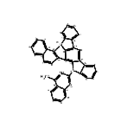 Cc1nc(-n2c3ccccc3c3cc4c5ccccc5n5c6c7ccccc7ccc6c(c32)c45)nc2ccccc12